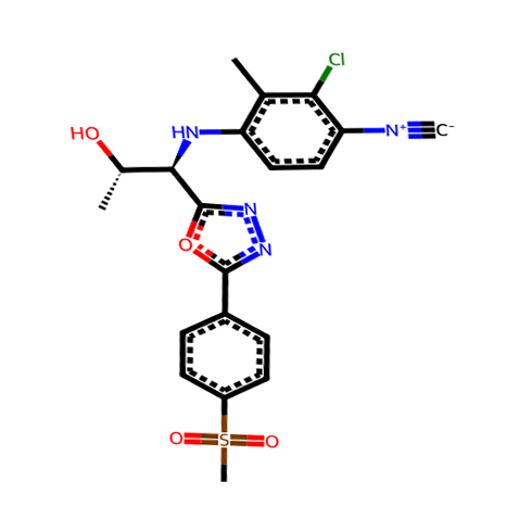 [C-]#[N+]c1ccc(N[C@@H](c2nnc(-c3ccc(S(C)(=O)=O)cc3)o2)[C@H](C)O)c(C)c1Cl